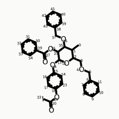 CC1C(COCc2ccccc2)OC(Oc2ccc(OC(=O)I)cc2)C(OC(=O)c2ccccc2)C1OCc1ccccc1